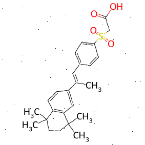 CC(=Cc1ccc(S(=O)(=O)CC(=O)O)cc1)c1ccc2c(c1)C(C)(C)CCC2(C)C